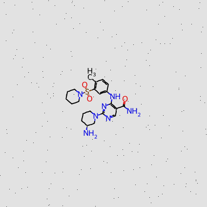 Cc1ccc(Nc2nc(N3CCC[C@H](N)C3)ncc2C(N)=O)cc1S(=O)(=O)N1CCCCC1